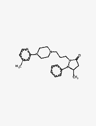 Cc1ccnc(N2CCN(CCCN3C(=O)CC(C)N3c3ccccc3)CC2)c1